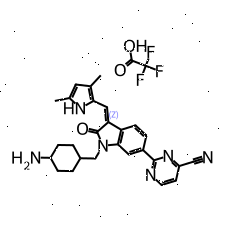 Cc1cc(C)c(/C=C2\C(=O)N(CC3CCC(N)CC3)c3cc(-c4nccc(C#N)n4)ccc32)[nH]1.O=C(O)C(F)(F)F